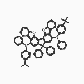 CC(C)c1ccc(N(c2ccccc2)c2cc3c(c4oc5ccccc5c24)-c2c(cc(N(c4ccccc4)c4ccc(C(C)(C)C)cc4)c4c2oc2ccccc24)C3(c2ccccc2)c2ccccc2)cc1